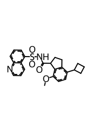 COc1ccc(C2CCC2)c2c1C(C(=O)NS(=O)(=O)c1cccc3ncccc13)CC2